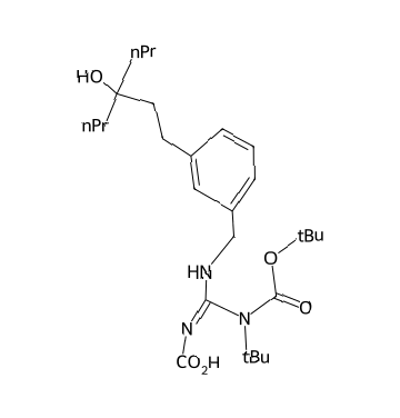 CCCC(O)(CCC)CCc1cccc(CNC(=NC(=O)O)N(C(=O)OC(C)(C)C)C(C)(C)C)c1